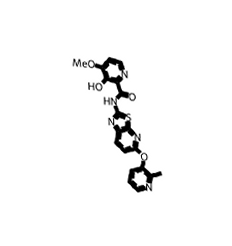 COc1ccnc(C(=O)Nc2nc3ccc(Oc4cccnc4C)nc3s2)c1O